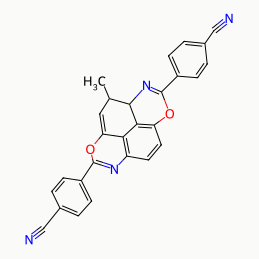 CC1C=C2OC(c3ccc(C#N)cc3)=Nc3ccc4c(c32)C1N=C(c1ccc(C#N)cc1)O4